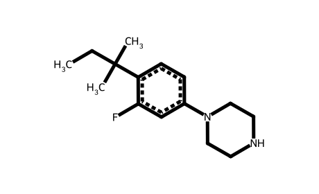 CCC(C)(C)c1ccc(N2CCNCC2)cc1F